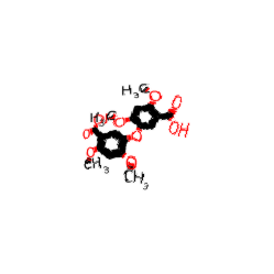 COc1cc(OC)c(C(=O)O)cc1Oc1cc(C(=O)O)c(OC)cc1OC